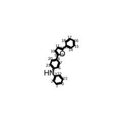 c1ccc(Nc2ccc(-c3ccc(-c4ccccc4)o3)cc2)cc1